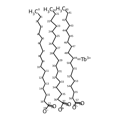 CCCCCCCCCCCCCCCCCC(=O)[O-].CCCCCCCCCCCCCCCCCC(=O)[O-].CCCCCCCCCCCCCCCCCC(=O)[O-].[Tb+3]